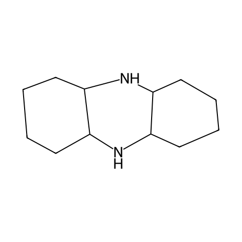 C1CCC2NC3CCCCC3NC2C1